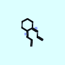 C=C/C=C1/CCCC/C1=C/C=C